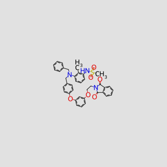 Cc1c(NS(C)(=O)=O)cccc1N(Cc1ccccc1)Cc1ccc(Oc2cccc(OCCN3C(=O)c4ccccc4C3=O)c2)cc1